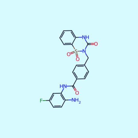 Nc1ccc(F)cc1NC(=O)c1ccc(CN2C(=O)Nc3ccccc3S2(=O)=O)cc1